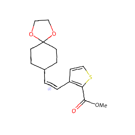 COC(=O)c1sccc1/C=C\C1CCC2(CC1)OCCO2